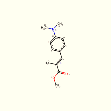 COC(=O)/C(C)=C/c1ccc(N(C)C)cc1